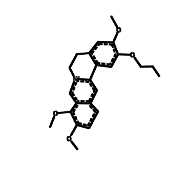 CCCOc1cc2c(cc1OC)CC[n+]1cc3c(OC)c(OC)ccc3cc1-2